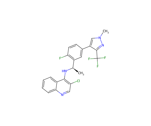 C[C@@H](Nc1c(Cl)cnc2ccccc12)c1cc(-c2cn(C)nc2C(F)(F)F)ccc1F